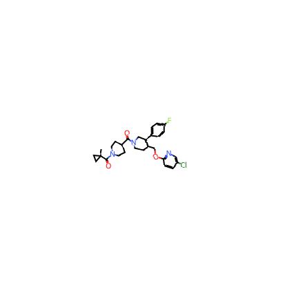 CC1(C(=O)N2CCC(C(=O)N3CCC(COc4ccc(Cl)cn4)C(c4ccc(F)cc4)C3)CC2)CC1